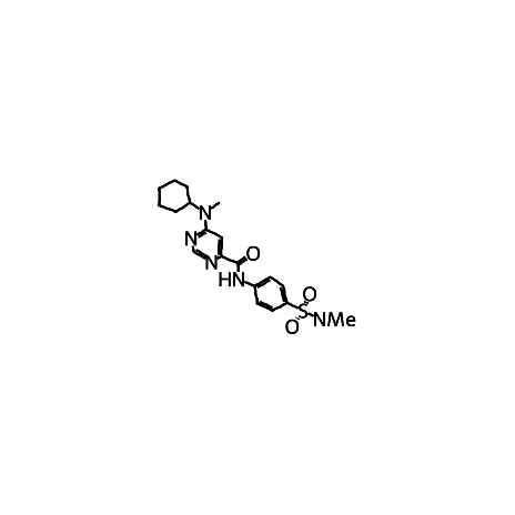 CNS(=O)(=O)c1ccc(NC(=O)c2cc(N(C)C3CCCCC3)ncn2)cc1